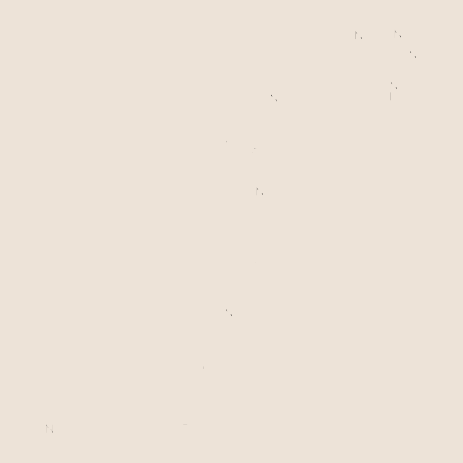 N#Cc1ccc(COc2cccc(C3CCN(C(=O)c4ccc(-c5nnn[nH]5)cn4)CC3)n2)c(F)c1